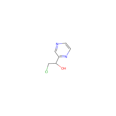 OC(CCl)c1cnccn1